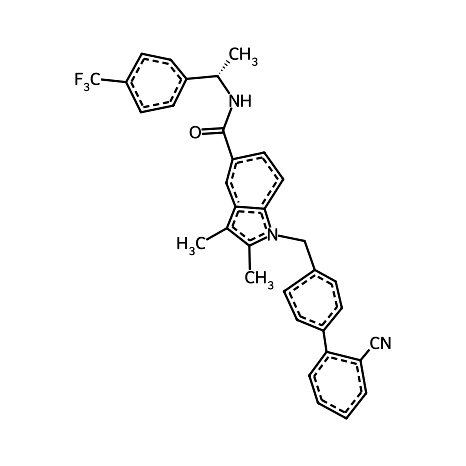 Cc1c(C)n(Cc2ccc(-c3ccccc3C#N)cc2)c2ccc(C(=O)N[C@@H](C)c3ccc(C(F)(F)F)cc3)cc12